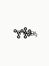 CC1(C)c2ccccc2-c2c(-c3nc(-c4ccccc4)c(-c4cccc(-c5nc(C6=CCCC=C6)cc(C6=CC=CCC6)n5)c4)nc3-c3ccccc3)cccc21